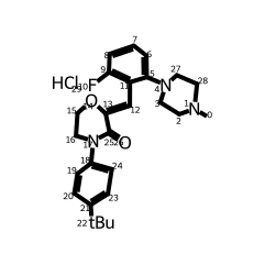 CN1CCN(c2cccc(F)c2C=C2OCCN(c3ccc(C(C)(C)C)cc3)C2=O)CC1.Cl